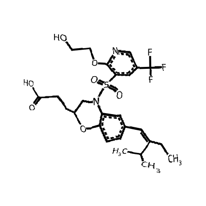 CCC(=Cc1ccc2c(c1)N(S(=O)(=O)c1cc(C(F)(F)F)cnc1OCCO)CC(CCC(=O)O)O2)C(C)C